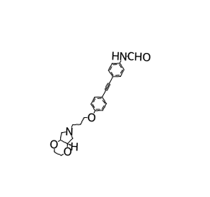 O=CNc1ccc(C#Cc2ccc(OCCCN3CC4OCCO[C@H]4C3)cc2)cc1